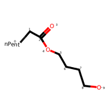 CCCCCCC(=O)OCCCC[O]